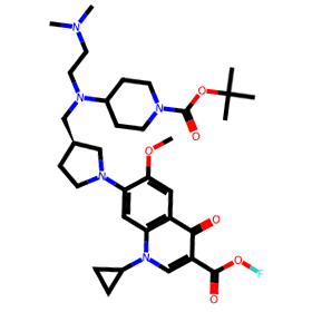 COc1cc2c(=O)c(C(=O)OF)cn(C3CC3)c2cc1N1CC[C@@H](CN(CCN(C)C)C2CCN(C(=O)OC(C)(C)C)CC2)C1